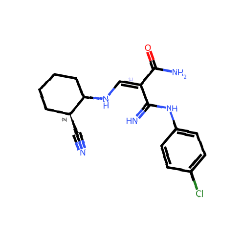 N#C[C@H]1CCCCC1N/C=C(\C(=N)Nc1ccc(Cl)cc1)C(N)=O